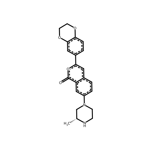 C[C@@H]1CN(c2ccc3cc(-c4ccc5c(c4)OCCO5)oc(=O)c3c2)CCN1